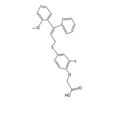 COc1ccccc1C(=CCSc1ccc(OCC(=O)O)c(I)c1)c1ccccc1